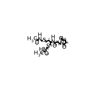 CC(=O)NCSCCC(CSCNC(C)=O)NC(=O)CCN1C(=O)C=CC1=O